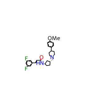 COc1ccc(C2CCN(C[C@@H]3CC[C@H](NC(=O)/C=C/c4cc(F)cc(F)c4)C3)CC2)cc1